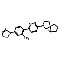 Oc1cc(N2CCC=N2)ccc1-c1ccc(N2CCC3(CCCN3)C2)nn1